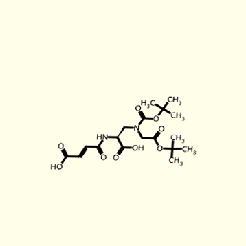 CC(C)(C)OC(=O)CN(C[C@H](NC(=O)/C=C/C(=O)O)C(=O)O)C(=O)OC(C)(C)C